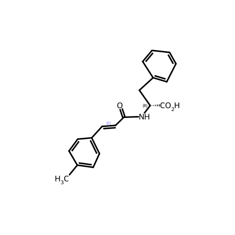 Cc1ccc(/C=C/C(=O)N[C@H](Cc2ccccc2)C(=O)O)cc1